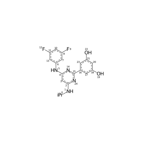 CC(C)Nc1cc(Nc2cc(F)cc(F)c2)nc(-c2cc(O)cc(O)c2)n1